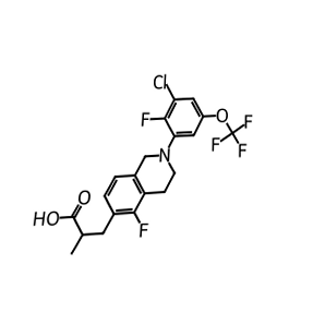 CC(Cc1ccc2c(c1F)CCN(c1cc(OC(F)(F)F)cc(Cl)c1F)C2)C(=O)O